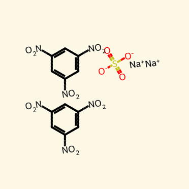 O=S(=O)([O-])[O-].O=[N+]([O-])c1cc([N+](=O)[O-])cc([N+](=O)[O-])c1.O=[N+]([O-])c1cc([N+](=O)[O-])cc([N+](=O)[O-])c1.[Na+].[Na+]